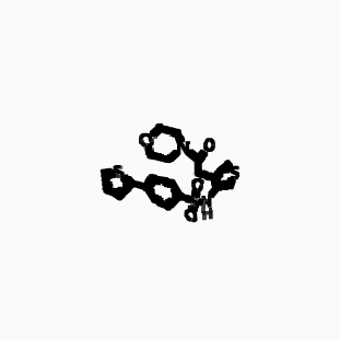 O=C(Cc1cscc1NS(=O)(=O)c1ccc(-c2cccs2)cc1)N1CCOCC1